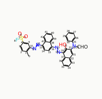 Cc1ccc(S(=O)(=O)F)cc1N=Nc1ccc(N=Nc2c(O)c(N(C=O)c3ccccc3)cc3ccccc23)c2ccccc12